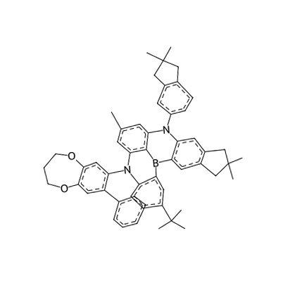 Cc1cc2c3c(c1)N(c1cc4c(cc1-c1ccccc1)OCCCO4)c1ccc(C(C)(C)C)cc1B3c1cc3c(cc1N2c1ccc2c(c1)CC(C)(C)C2)CC(C)(C)C3